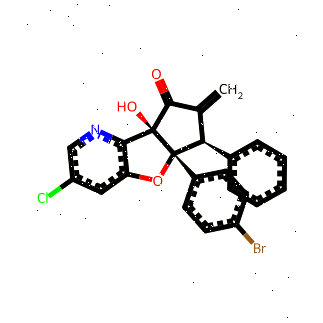 C=C1C(=O)[C@@]2(O)c3ncc(Cl)cc3O[C@@]2(c2ccc(Br)cc2)[C@@H]1c1ccccc1